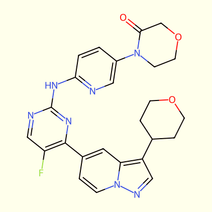 O=C1COCCN1c1ccc(Nc2ncc(F)c(-c3ccn4ncc(C5CCOCC5)c4c3)n2)nc1